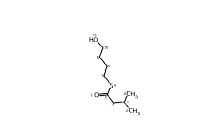 CC(C)CC(=O)SCCCCO